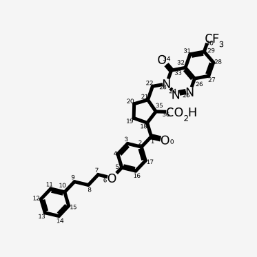 O=C(c1ccc(OCCCc2ccccc2)cc1)C1CCC(Cn2nnc3ccc(C(F)(F)F)cc3c2=O)C1C(=O)O